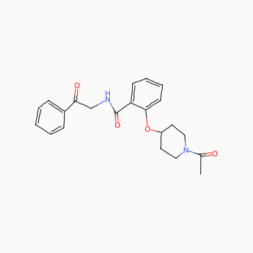 CC(=O)N1CCC(Oc2ccccc2C(=O)NCC(=O)c2ccccc2)CC1